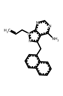 C=CCn1nc(Cc2cccc3ccccc23)c2c(N)ncnc21